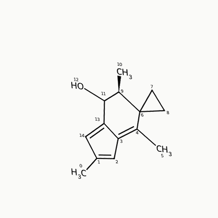 CC1=CC2=C(C)C3(CC3)[C@H](C)C(O)C2=C1